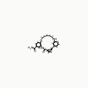 NC(=O)c1ccc2c(c1)NC(=O)c1csc(n1)-c1ccnc(c1)NCCCCCO2